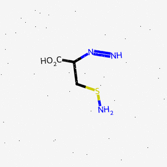 N=NC(CSN)C(=O)O